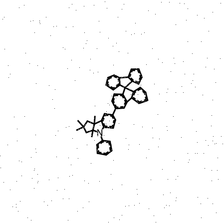 CC1(C)CC2(C)c3cc(-c4ccc5c(c4)-c4ccccc4C54c5ccccc5-c5ccccc54)ccc3N(c3ccccc3)C2(C)C1